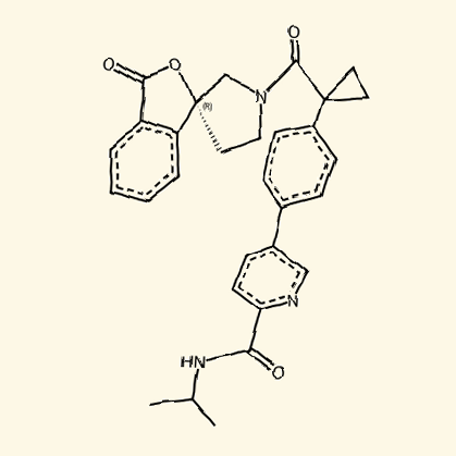 CC(C)NC(=O)c1ccc(-c2ccc(C3(C(=O)N4CC[C@@]5(C4)OC(=O)c4ccccc45)CC3)cc2)cn1